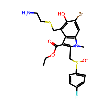 CCOC(=O)c1c(C[S+]([O-])c2ccc(F)cc2)n(C)c2cc(Br)c(O)c(CSCCN)c12